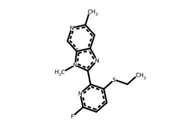 CCSc1ccc(F)nc1-c1nc2cc(C)ncc2n1C